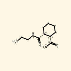 NCCNC(=O)[C@@H]1CCCC[C@@H]1C(N)=O